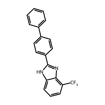 FC(F)(F)c1cccc2[nH]c(-c3ccc(-c4ccccc4)cc3)nc12